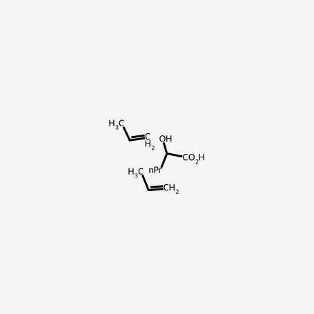 C=CC.C=CC.C[CH]CC(O)C(=O)O